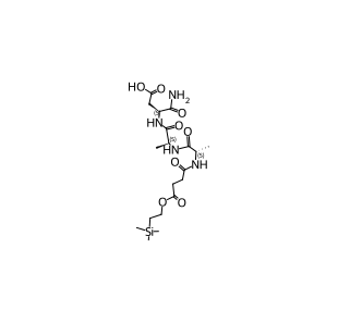 C[C@H](NC(=O)CCC(=O)OCC[Si](C)(C)C)C(=O)N[C@@H](C)C(=O)N[C@@H](CC(=O)O)C(N)=O